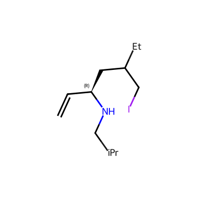 C=C[C@@H](CC(CC)CI)NCC(C)C